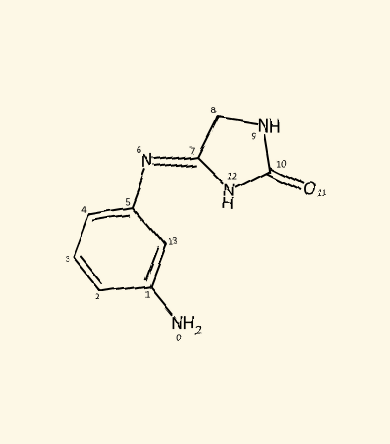 Nc1cccc(N=C2CNC(=O)N2)c1